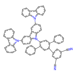 N#Cc1cc(C#N)cc(-c2cc(-c3ccccc3)c(-n3c4ccc(-n5c6ccccc6c6ccccc65)cc4c4cc(-n5c6ccccc6c6ccccc65)ccc43)cc2-c2ccccc2)c1